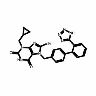 CCCc1nc2c(c(=O)[nH]c(=O)n2CC2CC2)n1Cc1ccc(-c2ccccc2-c2nnn[nH]2)cc1